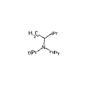 [CH2]C(C(C)C)N(CCC)CCC